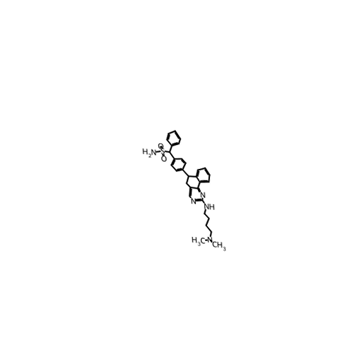 CN(C)CCCCNc1ncc2c(n1)-c1ccccc1C(c1ccc(C(c3ccccc3)S(N)(=O)=O)cc1)C2